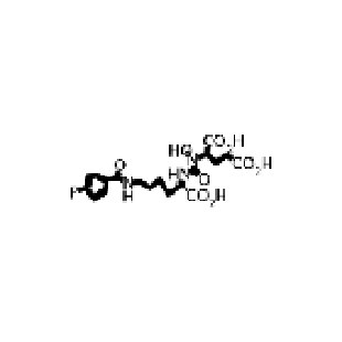 O=C(O)CCC(C(=O)O)N(O)C(=O)N[C@@H](CCCCNC(=O)c1ccc(F)cc1)C(=O)O